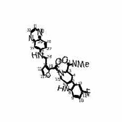 CNC(=O)C1Cc2c([nH]c3ccc(F)cc23)CN1C(=O)c1occc1CNc1ccc2nccnc2c1